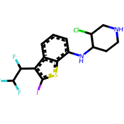 FC(F)C(F)c1c(I)sc2c(NC3CCNCC3Cl)cccc12